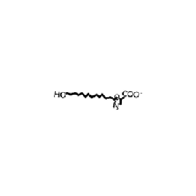 C[N+](C)(C)CC(CC(=O)[O-])OCCCCCCCCCCCCCCO